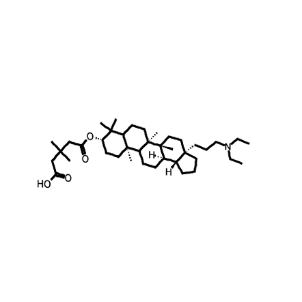 CCN(CC)CCC[C@]12CCC[C@@H]1[C@H]1CCC3[C@@]4(C)CC[C@H](OC(=O)CC(C)(C)CC(=O)O)C(C)(C)C4CC[C@@]3(C)[C@]1(C)CC2